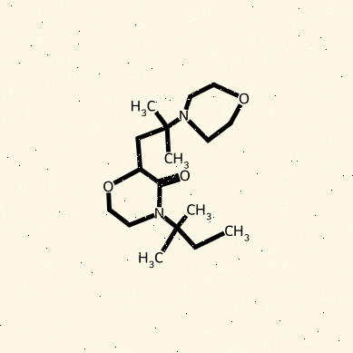 CCC(C)(C)N1CCOC(CC(C)(C)N2CCOCC2)C1=O